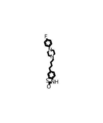 O=c1[nH]c2ccc(CCCCN3CCN(c4ccc(F)cc4)CC3)cc2s1